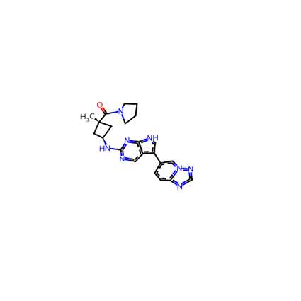 C[C@]1(C(=O)N2CCCC2)C[C@H](Nc2ncc3c(-c4ccc5ncnn5c4)c[nH]c3n2)C1